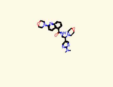 CN(C)c1ncc(C(CNC(=O)c2cccc3nc(N4CCOCC4)ccc23)N2CCOCC2)cn1